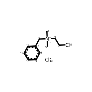 C[N+](C)(CCCl)Cc1ccccc1.[Cl-]